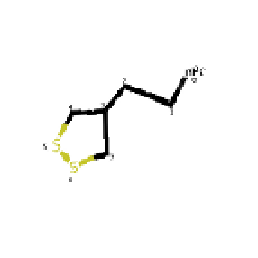 CCCCCC1CSSC1